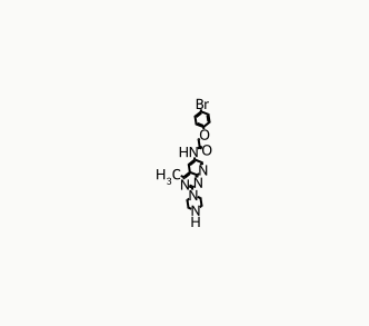 Cc1nc(N2CCNCC2)nc2ncc(NC(=O)COc3ccc(Br)cc3)cc12